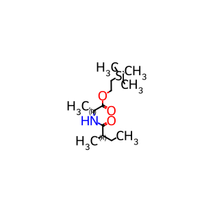 CC[C@@H](C)C(=O)N[C@H](C)C(=O)OCC[Si](C)(C)C